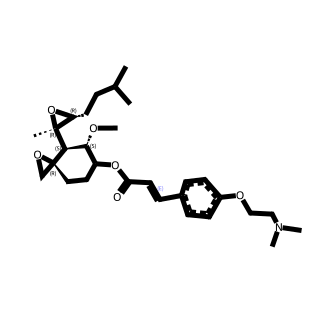 CO[C@@H]1C(OC(=O)/C=C/c2ccc(OCCN(C)C)cc2)CC[C@]2(CO2)[C@H]1[C@@]1(C)O[C@@H]1CCC(C)C